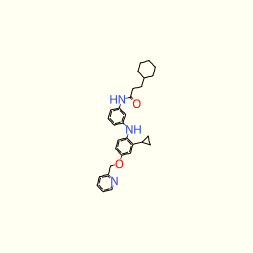 O=C(CCC1CCCCC1)Nc1cccc(Nc2ccc(OCc3ccccn3)cc2C2CC2)c1